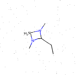 CCC1N(C)[SiH2]N1C